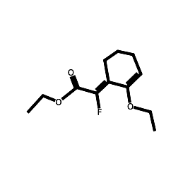 CCOC(=O)C(F)=C1CCCC=C1OCC